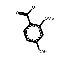 COc1ccc(C([O])=O)c(OC)c1